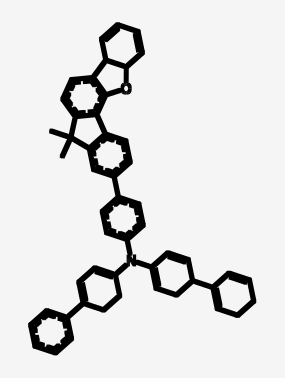 CC1(C)c2cc(-c3ccc(N(C4=CCC(C5=CCCC=C5)C=C4)C4=CC=C(c5ccccc5)CC4)cc3)ccc2-c2c1ccc1c2OC2C=CC=CC12